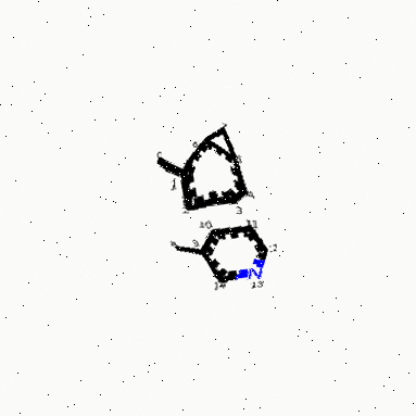 Cc1cccc2c1C2.Cc1cccnc1